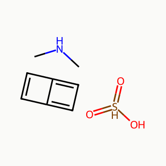 CNC.O=[SH](=O)O.c1cc2ccc1-2